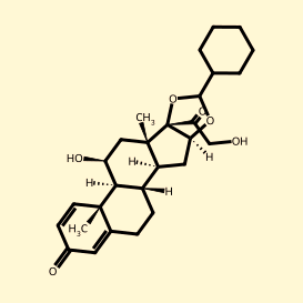 C[C@]12C=CC(=O)C=C1CC[C@@H]1[C@@H]2[C@@H](O)C[C@@]2(C)[C@H]1C[C@@H]1OC(C3CCCCC3)O[C@]12C(=O)CO